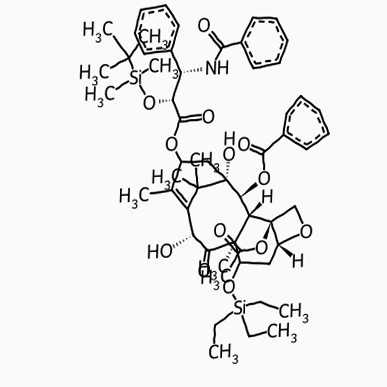 CC[Si](CC)(CC)OC1C[C@H]2OC[C@@]2(OC(C)=O)[C@H]2[C@H](OC(=O)c3ccccc3)[C@]3(O)CC(OC(=O)[C@H](O[Si](C)(C)C(C)(C)C)[C@@H](NC(=O)c4ccccc4)c4ccccc4)C(C)=C([C@@H](O)C(=O)[C@]12C)C3(C)C